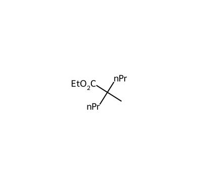 CCCC(C)(CCC)C(=O)OCC